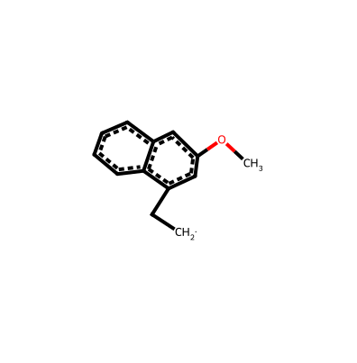 [CH2]Cc1cc(OC)cc2ccccc12